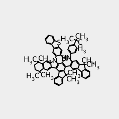 CC(C)(C)c1ccc(Nc2cc3c(cc2-c2c4c(c5c6cc7c(cc6n6c5c2Bc2cc5sc8ccccc8c5cc2-6)C(C)(C)CCC7(C)C)-c2ccccc2C4(C)C)-c2ccccc2C3(C)C)cc1